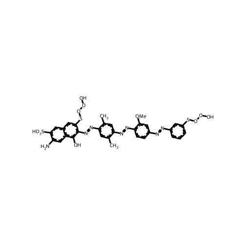 COc1cc(/N=N/c2cccc(SOOO)c2)ccc1/N=N/c1cc(C)c(/N=N/c2c(SOOO)cc3cc(S(=O)(=O)O)c(N)cc3c2O)cc1C